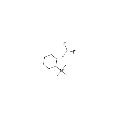 C[N+](C)(C)C1CCCCC1.FC(F)F